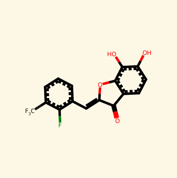 O=C1C(=Cc2cccc(C(F)(F)F)c2F)Oc2c1ccc(O)c2O